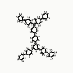 c1ccc(-c2ccc(-c3cc(-c4ccc(-c5ccccc5)cc4)cc(-c4ccc(-c5ccc(N(c6ccc(-c7ccccc7)cc6)c6ccc(-c7ccccc7)cc6)cc5)cc4)c3)cc2)cc1